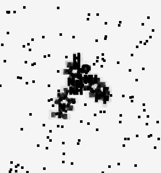 CC(C)N1CCC(CNc2nc(Nc3ccc(C(F)(F)F)cc3)c3c(=O)[nH]ccc3n2)CC1